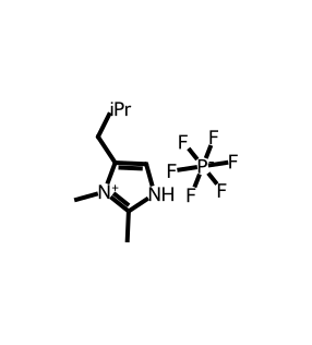 Cc1[nH]cc(CC(C)C)[n+]1C.F[P-](F)(F)(F)(F)F